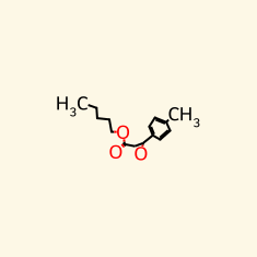 CCCCCOC(=O)C1OC1c1ccc(C)cc1